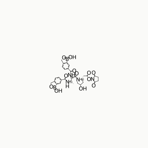 C[C@H](NC(=O)c1ccc2c(c1)B(O)OC2)[C@H](NC(=O)c1ccc2c(c1)B(O)OC2)C(=O)N1CC(O)C[C@H]1CC(=O)ON1C(=O)CCC1=O